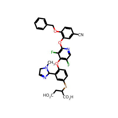 CN1CC=NC1c1cc(SC(CC(=O)O)C(=O)O)ccc1Oc1c(F)cnc(Oc2cc(C#N)ccc2OCc2ccccc2)c1F